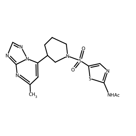 CC(=O)Nc1ncc(S(=O)(=O)N2CCCC(c3cc(C)nc4ncnn34)C2)s1